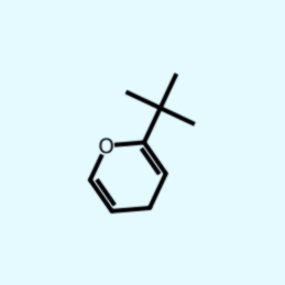 CC(C)(C)C1=CCC=CO1